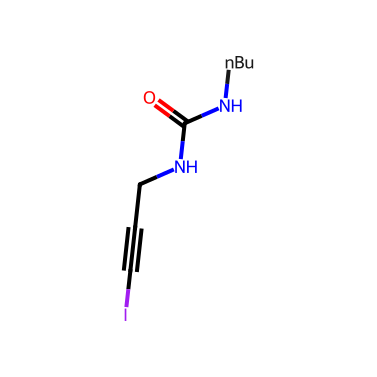 CCCCNC(=O)NCC#CI